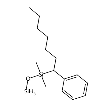 CCCCCCC(c1ccccc1)[Si](C)(C)O[SiH3]